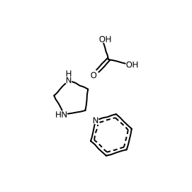 C1CNCN1.O=C(O)O.c1ccncc1